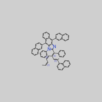 C\C=C/C=C\C(\C=C(/C)c1cccc2ccccc12)=C(\c1ccccc1)c1nc2c(-c3ccc4ccccc4c3)c3ccccc3c(-c3ccc4ccccc4c3)c2n1-c1ccccc1